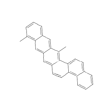 Cc1cccc2cc3c(C)c4c(ccc5c6ccccc6ccc54)cc3cc12